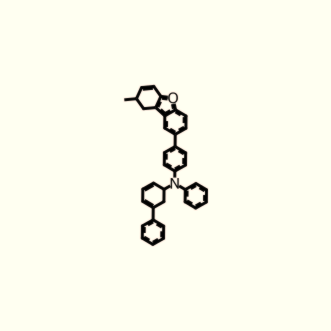 CC1C=Cc2oc3ccc(-c4ccc(N(c5ccccc5)C5C=CC=C(c6ccccc6)C5)cc4)cc3c2C1